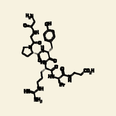 CC(C)[C@@H](NC(=O)[C@H](CCCNC(=N)N)NC(=O)[C@@H](Cc1ccc(O)cc1)NC(=O)[C@@H]1CCCN1C(=O)CNC(=O)CN)C(=O)NCCC(=O)O